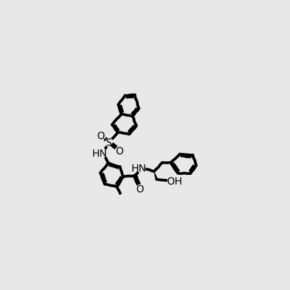 Cc1ccc(NS(=O)(=O)c2ccc3ccccc3c2)cc1C(=O)N[C@H](CO)Cc1ccccc1